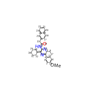 COc1ccc2c(c1)CCc1nc(NC(=O)Cc3ccc4ccccc4c3)c(C3CCCCC3)nc1-2